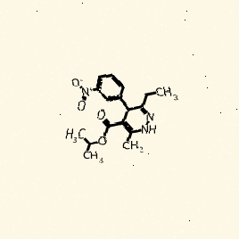 CCC1=NNC(C)=C(C(=O)OC(C)C)C1c1cccc([N+](=O)[O-])c1